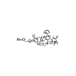 CCOC(=O)C1=C(CN2CCN3C(=O)N(C45CC(COC)(C4)C5)C[C@@H]3[C@H]2C(=O)O)NC(c2nccs2)=NC1c1cccc(F)c1C